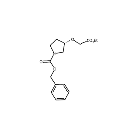 CCOC(=O)CO[C@H]1CCN(C(=O)OCc2ccccc2)C1